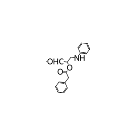 O=[C]C(CNc1ccccc1)OC(=O)Cc1ccccc1